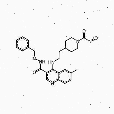 Cc1ccc2ncc(C(=O)NOCc3ccccc3)c(NCCC3CCN(C(=O)N=O)CC3)c2c1